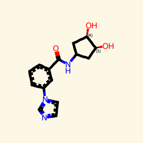 O=C(NC1C[C@@H](O)[C@@H](O)C1)c1cccc(-n2ccnc2)c1